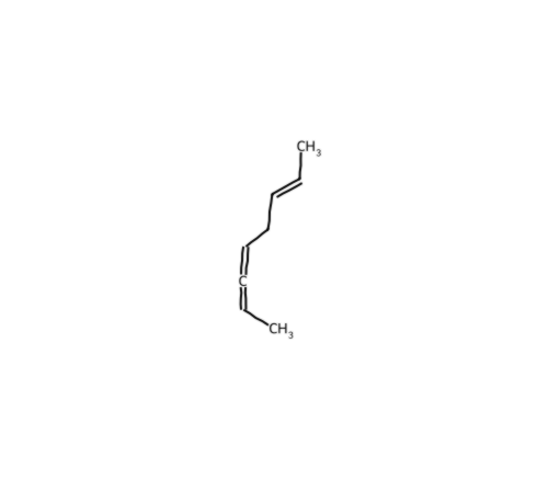 CC=C=CCC=CC